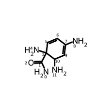 NC(=O)C1(N)C=CC(N)=CC1N